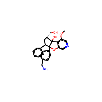 COc1cncc2c1C1(O)[C@@H](CO)CC(c3ccccc3)C1(c1ccc(CN)cc1)O2